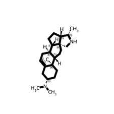 C[C@@H]1NC[C@]23CC[C@H]4[C@@H](CC=C5C[C@@H](N(C)C)CC[C@@]54C)[C@@H]2CC[C@H]13